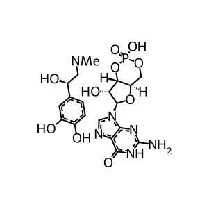 CNC[C@H](O)c1ccc(O)c(O)c1.Nc1nc2c(ncn2[C@@H]2O[C@@H]3COP(=O)(O)O[C@H]3[C@H]2O)c(=O)[nH]1